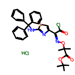 CC(C)(C)OC(=O)C(C)(C)ON=C(C(=O)Cl)c1csc(NC(c2ccccc2)(c2ccccc2)c2ccccc2)n1.Cl